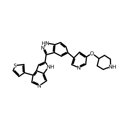 c1cc(-c2cncc3[nH]c(-c4n[nH]c5ccc(-c6cncc(OC7CCNCC7)c6)cc45)cc23)cs1